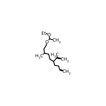 C=CCCC(CCC(C)CCOC(C)OCC)C(=C)C